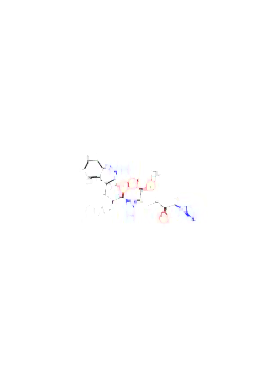 CC(=O)OC(Cc1c[nH]c2ccccc12)C(=O)N[C@@H](CCC(=O)C=[N+]=[N-])C(=O)OC(C)C